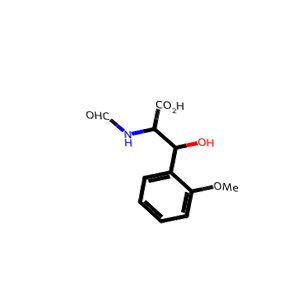 COc1ccccc1C(O)C(NC=O)C(=O)O